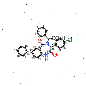 O=C(O)C(c1ccccc1)N1C(=O)c2cc(-c3ccccc3)ccc2NC(=O)C1c1ccc(Cl)cc1